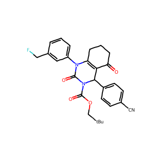 CC(C)(C)COC(=O)N1C(=O)N(c2cccc(CF)c2)C2=C(C(=O)CCC2)C1c1ccc(C#N)cc1